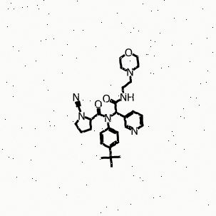 CC(C)(C)c1ccc(N(C(=O)C2CCCN2C#N)C(C(=O)NCCN2CCOCC2)c2cccnc2)cc1